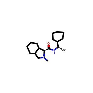 CC(=O)[C@@H](NC(=O)[C@@H]1C2CCCCC2CN1C)C1CCCCC1